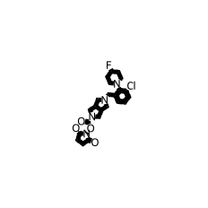 O=C(ON1C(=O)CCC1=O)N1CC2CN(Cc3cccc(Cl)c3N3CCC(F)CC3)CC2C1